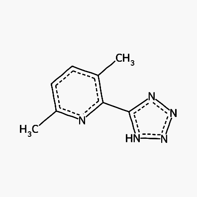 Cc1ccc(C)c(-c2nnn[nH]2)n1